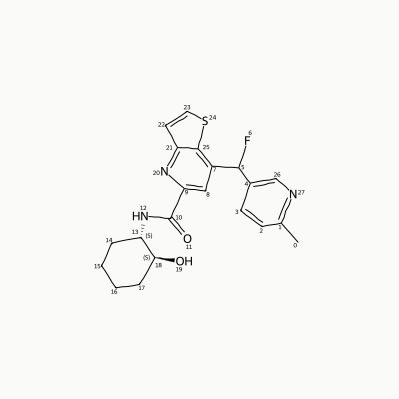 Cc1ccc(C(F)c2cc(C(=O)N[C@H]3CCCC[C@@H]3O)nc3ccsc23)cn1